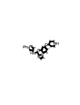 CC(C)n1cc(Nc2nc3cc(OC4CCNCC4)ccc3n3ccnc23)cn1